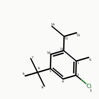 Cc1c(Cl)cc(C(C)(C)C)cc1C(C)C